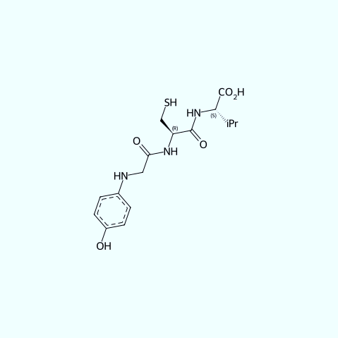 CC(C)[C@H](NC(=O)[C@H](CS)NC(=O)CNc1ccc(O)cc1)C(=O)O